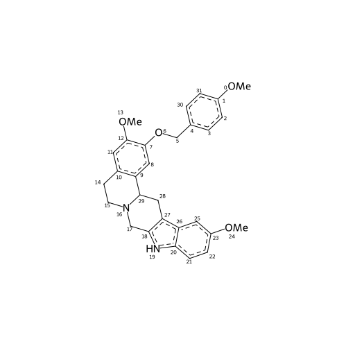 COc1ccc(COc2cc3c(cc2OC)CCN2Cc4[nH]c5ccc(OC)cc5c4CC32)cc1